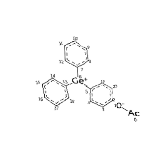 CC(=O)[O-].c1cc[c]([Ge+]([c]2ccccc2)[c]2ccccc2)cc1